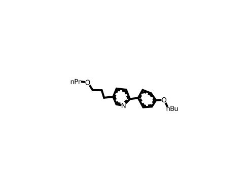 CCCCOc1ccc(-c2ccc(CCCOCCC)cn2)cc1